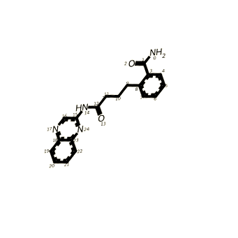 NC(=O)c1ccccc1CC[CH]C(=O)Nc1cnc2ccccc2n1